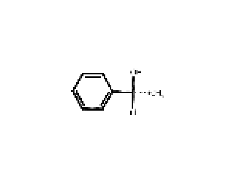 C[C@](O)(Cl)c1ccccc1